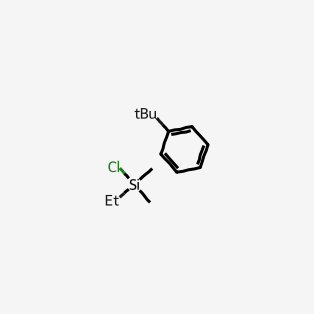 CC(C)(C)c1ccccc1.CC[Si](C)(C)Cl